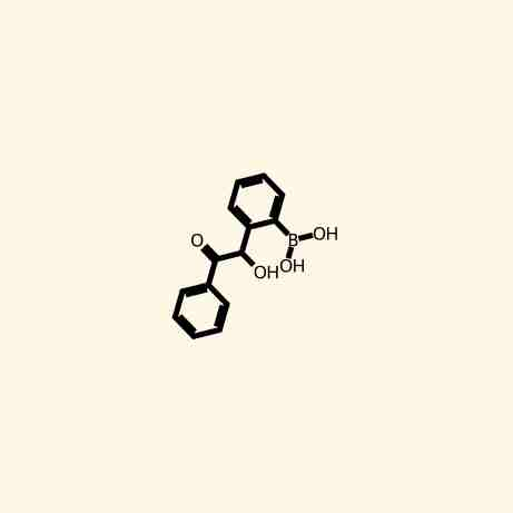 O=C(c1ccccc1)C(O)c1ccccc1B(O)O